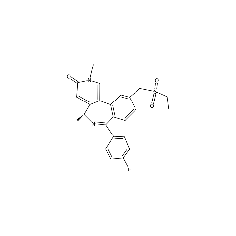 CCS(=O)(=O)Cc1ccc2c(c1)-c1cn(C)c(=O)cc1[C@H](C)N=C2c1ccc(F)cc1